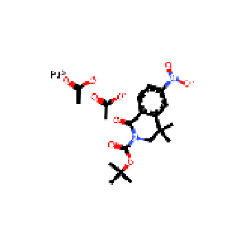 CC(=O)[O-].CC(=O)[O-].CC(C)(C)OC(=O)N1CC(C)(C)c2cc([N+](=O)[O-])ccc2C1=O.[Pd+2]